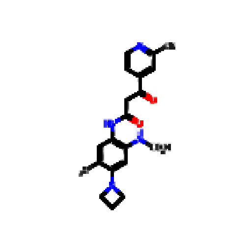 N#Cc1cc(C(=O)CC(=O)Nc2cc(C(F)(F)F)c(N3CCC3)cc2NC(=O)O)ccn1